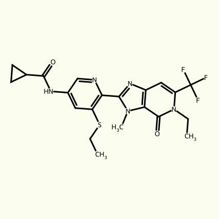 CCSc1cc(NC(=O)C2CC2)cnc1-c1nc2cc(C(F)(F)F)n(CC)c(=O)c2n1C